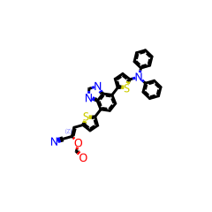 N#C/C(=C/c1ccc(-c2ccc(-c3ccc(N(c4ccccc4)c4ccccc4)s3)c3c2=NCN=3)s1)OC=O